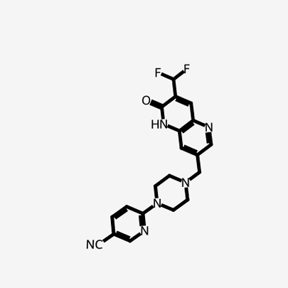 N#Cc1ccc(N2CCN(Cc3cnc4cc(C(F)F)c(=O)[nH]c4c3)CC2)nc1